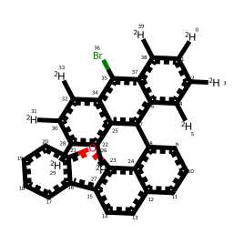 [2H]c1c([2H])c([2H])c2c(-c3cccc4ccc5c6ccccc6oc5c34)c3c([2H])c([2H])c([2H])c([2H])c3c(Br)c2c1[2H]